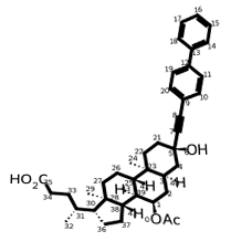 CC(=O)O[C@@H]1C[C@@H]2C[C@@](O)(C#Cc3ccc(-c4ccccc4)cc3)CC[C@]2(C)[C@H]2CC[C@]3(C)[C@@H]([C@H](C)CCC(=O)O)CC[C@H]3[C@H]12